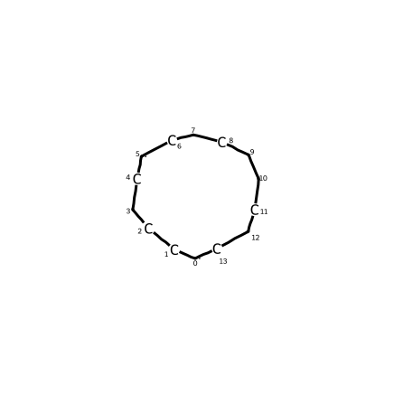 [CH]1CCCC[CH]CCCCCCCC1